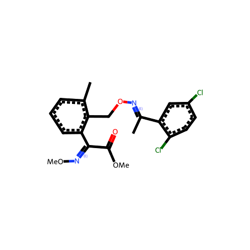 CO/N=C(/C(=O)OC)c1cccc(C)c1CO/N=C(\C)c1cc(Cl)ccc1Cl